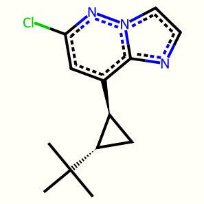 CC(C)(C)[C@H]1C[C@@H]1c1cc(Cl)nn2ccnc12